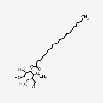 CCCCCCCCCCCCCCCCCC(=O)O[C@@H]([C@H](OC)[C@H](C=O)OC)[C@H](O)CO